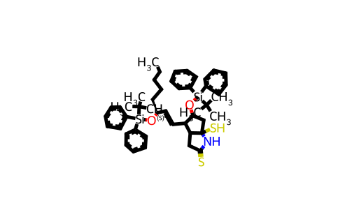 CCCCC[C@@H](C=CC1C(O[Si](c2ccccc2)(c2ccccc2)C(C)(C)C)CC2(S)NC(=S)CC12)O[Si](c1ccccc1)(c1ccccc1)C(C)(C)C